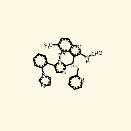 CCCn1c(-c2ccccc2-n2ccnc2)cnc1[C@@H](Cc1ccccn1)c1c(NC=O)oc2ccc(C(F)(F)F)cc12